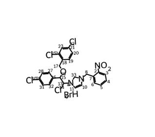 Br.O=[N+]([O-])c1ccccc1CN1C=CN(C(Cl)C(OCc2ccc(Cl)cc2Cl)c2ccc(Cl)cc2)C1